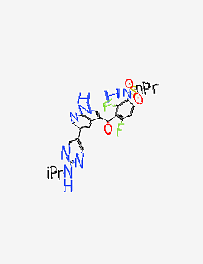 CCCS(=O)(=O)Nc1ccc(F)c(C(=O)c2c[nH]c3ncc(-c4cnc(NC(C)C)nc4)cc23)c1F